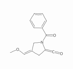 COC=C1CC(=C=O)N(C(=O)c2ccccc2)C1